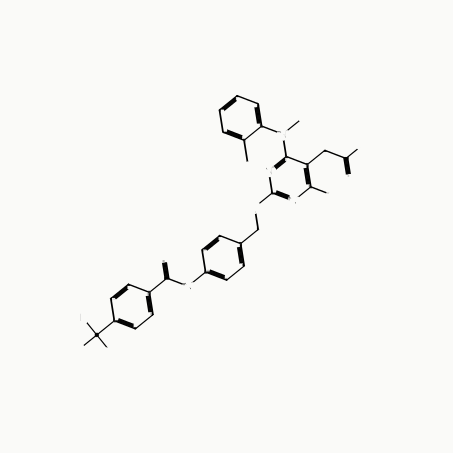 Cc1ccccc1N(C)c1nc(SCc2ccc(NC(=O)c3ccc(C(F)(F)F)cc3)cc2)nc(Cl)c1CC(=O)O